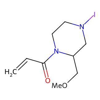 C=CC(=O)N1CCN(I)CC1COC